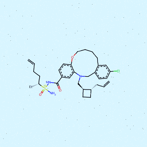 C=CCC[C@@H](CC)[SH](N)(=O)NC(=O)c1ccc2c(c1)N(C[C@@H]1CC[C@H]1CC=C)Cc1ccc(Cl)cc1CCCCO2